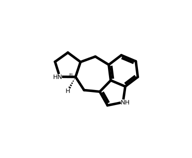 c1cc2c3c(c[nH]c3c1)C[C@H]1NCCC1C2